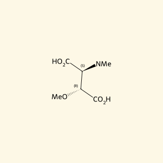 CN[C@H](C(=O)O)[C@@H](OC)C(=O)O